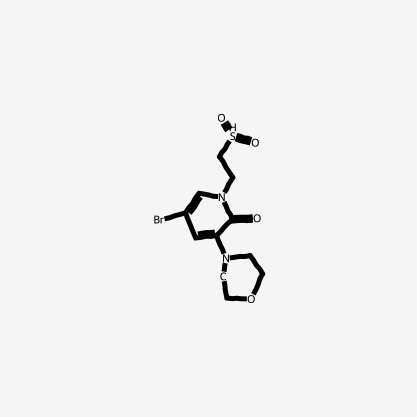 O=c1c(N2CCOCC2)cc(Br)cn1CC[SH](=O)=O